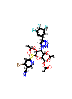 CC(=O)OCC1OC(Sc2cc(Br)c(C#N)cn2)C(OC(C)=O)C(n2cc(-c3cc(F)c(F)c(F)c3)nn2)C1OC(C)=O